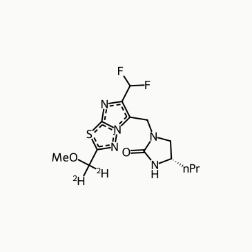 [2H]C([2H])(OC)c1nn2c(CN3C[C@H](CCC)NC3=O)c(C(F)F)nc2s1